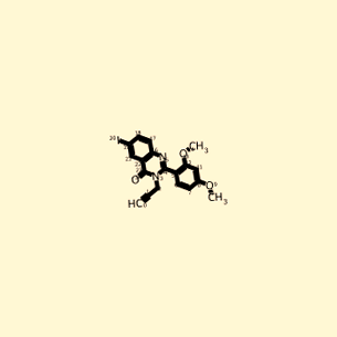 C#CCn1c(-c2ccc(OC)cc2OC)nc2ccc(I)cc2c1=O